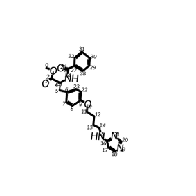 COC(=O)[C@H](Cc1ccc(OCCCCNc2ccncn2)cc1)NC(=O)c1ccccc1